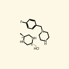 C[C@@H]1CN[C@@H](C)CN1.Cl.Fc1ccc(CN2CCNCC2)cc1